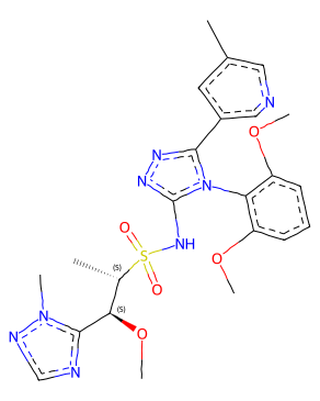 COc1cccc(OC)c1-n1c(NS(=O)(=O)[C@@H](C)[C@@H](OC)c2ncnn2C)nnc1-c1cncc(C)c1